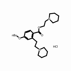 CCCCOc1ccc(C(=O)OCCN2CCCCC2)c(CCN2CCCCC2)c1.Cl